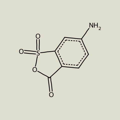 Nc1ccc2c(c1)S(=O)(=O)OC2=O